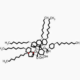 CCCCCCCCC[C@H]1CC[C@H](C(=O)O[C@@]2(C(=O)[C@H]3CC[C@H](CCCCCCCCC)CC3)[C@@](OC(=O)[C@H]3CC[C@H](CCCCCCCCC)CC3)(C(=O)[C@H]3CC[C@H](CCCCCCCCC)CC3)[C@@H](O)[C@H](O)[C@@H](O)[C@@]2(OC(=O)[C@H]2CC[C@H](CCCCCCCCC)CC2)C(=O)[C@H]2CC[C@H](CCCCCCCCC)CC2)CC1